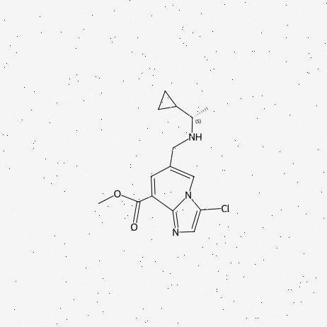 COC(=O)c1cc(CN[C@@H](C)C2CC2)cn2c(Cl)cnc12